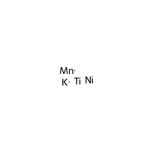 [K].[Mn].[Ni].[Ti]